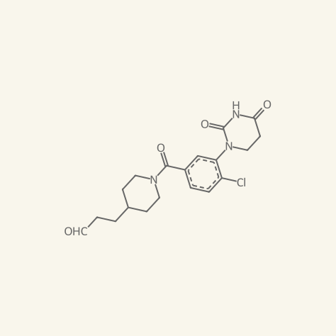 O=CCCC1CCN(C(=O)c2ccc(Cl)c(N3CCC(=O)NC3=O)c2)CC1